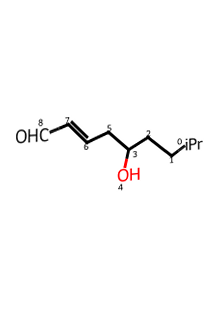 CC(C)CCC(O)CC=CC=O